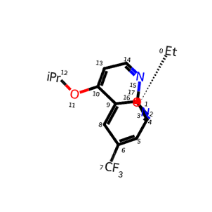 CC[C@@H]1CN=C2C=C(C(F)(F)F)C=C3C(OC(C)C)=CC=NC32O1